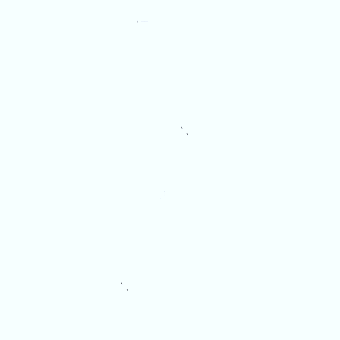 CCN1CCC(OCC(C)N2CCC(CO)CC2)CC1